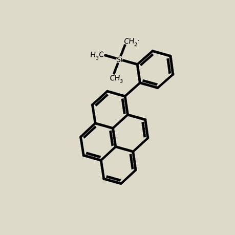 [CH2][Si](C)(C)c1ccccc1-c1ccc2ccc3cccc4ccc1c2c34